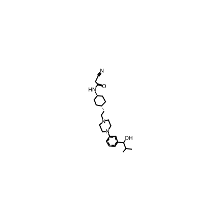 CC(C)C(O)c1cccc(N2CCN(CC[C@H]3CC[C@H](NC(=O)CC#N)CC3)CC2)c1